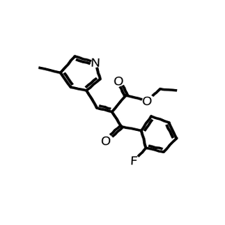 CCOC(=O)/C(=C\c1cncc(C)c1)C(=O)c1ccccc1F